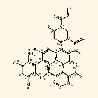 C=CC(=O)N1CC2C(=O)N(C)c3c(c4cc(F)c(-c5c(N)c(Cl)cc(Cl)c5F)c(Cl)c4n(-c4c(C(C)C)ncnc4C(C)C)c3=O)N2CC1C